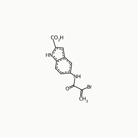 C=C(Br)C(=O)Nc1ccc2[nH]c(C(=O)O)cc2c1